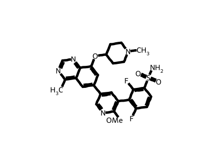 COc1ncc(-c2cc(OC3CCN(C)CC3)c3ncnc(C)c3c2)cc1-c1c(F)ccc(S(N)(=O)=O)c1F